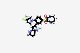 O=S(=O)(c1ccc(N2CCC(F)(F)C2)c(-c2cc3ncccc3[nH]2)c1)N1C2CCCC1CC2